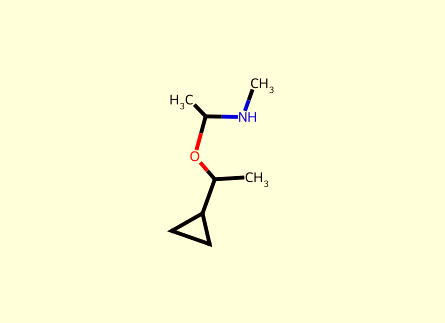 CNC(C)OC(C)C1CC1